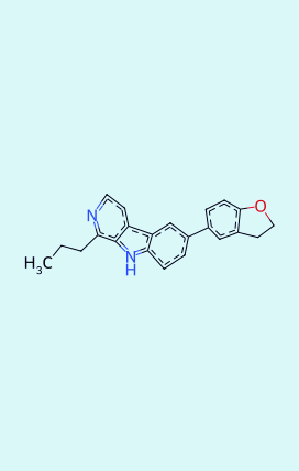 CCCc1nccc2c1[nH]c1ccc(-c3ccc4c(c3)CCO4)cc12